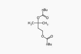 CCCCC(=O)OCCC(C)(C)OC(=O)CCCC